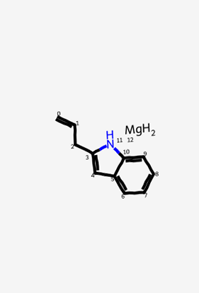 C=CCc1cc2ccccc2[nH]1.[MgH2]